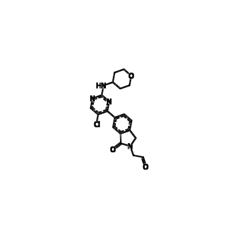 O=CCN1Cc2ccc(-c3nc(NC4CCOCC4)ncc3Cl)cc2C1=O